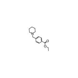 CCOC(=O)c1ccc(CN2CCCCC2)cc1